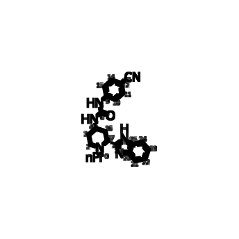 CCCN1CC[C@@H](NC(=O)Nc2ccc(C#N)cc2)C[C@@H]1c1nc2ccccc2[nH]1